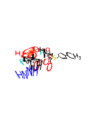 Cc1ccc(CSC2C(=O)C23OC[C@H]2O[C@@H](NC=N)[C@H](F)[C@@H]2OP(=O)(O)OC[C@H]2OC[C@H](O3)[C@@H]2F)cc1